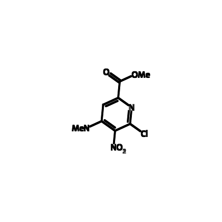 CNc1cc(C(=O)OC)nc(Cl)c1[N+](=O)[O-]